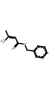 C/C(=C/C(=O)OCc1ccccc1)C(F)(F)F